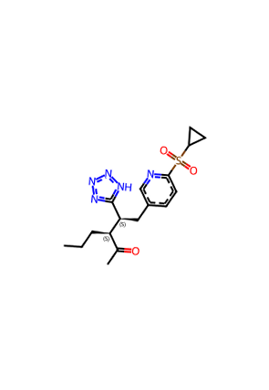 CCC[C@H](C(C)=O)[C@H](Cc1ccc(S(=O)(=O)C2CC2)nc1)c1nnn[nH]1